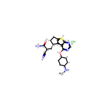 CNC1CCC(Oc2ncnc3sc4c(c23)[C@@H](CC(C#N)C(N)=O)CC4)CC1.Cl